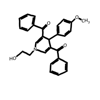 COc1ccc(C2C(C(=O)c3ccccc3)=CN(CCO)C=C2C(=O)c2ccccc2)cc1